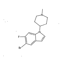 CN1CCC(n2ccc3cc(Br)c(F)cc32)CC1